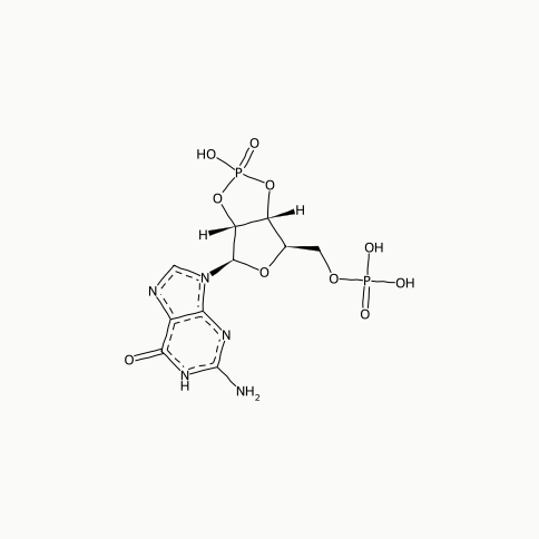 Nc1nc2c(ncn2[C@@H]2O[C@H](COP(=O)(O)O)[C@H]3OP(=O)(O)O[C@H]32)c(=O)[nH]1